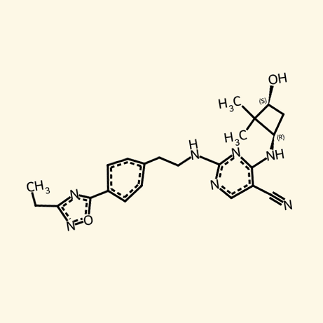 CCc1noc(-c2ccc(CCNc3ncc(C#N)c(N[C@@H]4C[C@H](O)C4(C)C)n3)cc2)n1